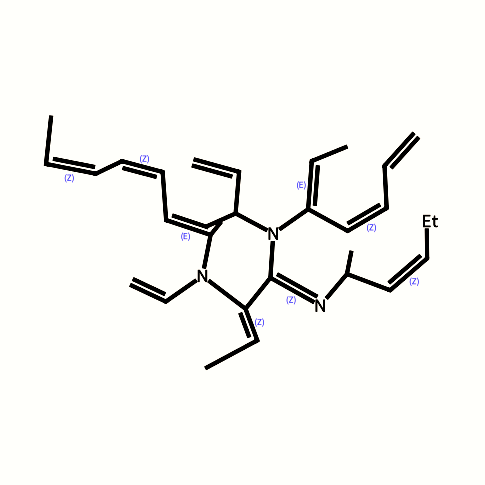 C=C/C=C\C(=C/C)N(C(=N\C(C)/C=C\CC)/C(=C/C)N(C=C)/C(C)=C/C=C\C=C/C)C(C)C=C